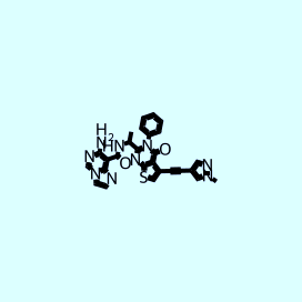 CC(NC(=O)c1c(N)ncn2ccnc12)c1nc2scc(C#Cc3cnn(C)c3)c2c(=O)n1-c1ccccc1